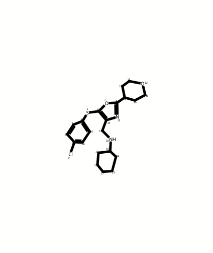 Clc1ccc(Sc2oc(C3CCOCC3)nc2CNC2CCCCC2)cc1